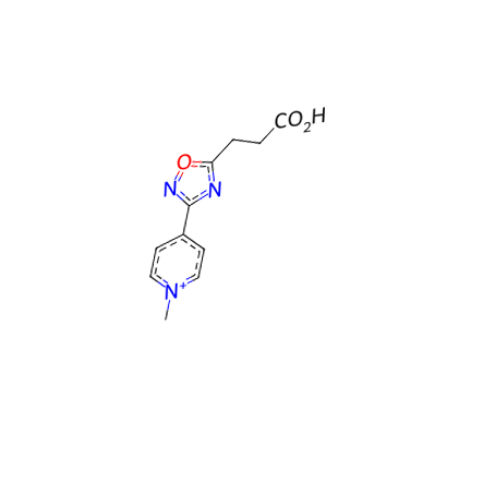 C[n+]1ccc(-c2noc(CCC(=O)O)n2)cc1